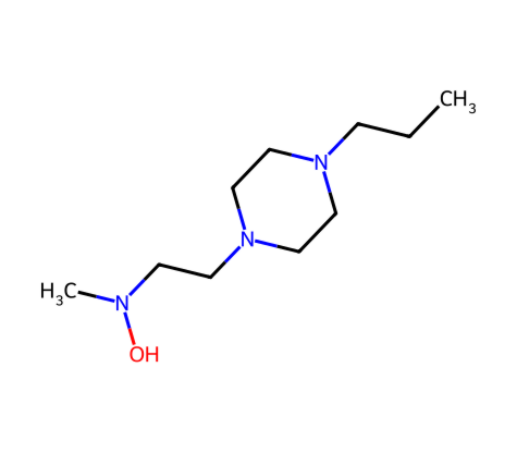 CCCN1CCN(CCN(C)O)CC1